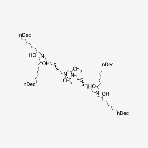 CCCCCCCCCCCCCCCCC(O)CN(CCCCSSCCN1CC(C)N(CCSSCCCCN(CC(O)CCCCCCCCCCCCCCCC)CC(O)CCCCCCCCCCCCCCCC)CC1C)CC(O)CCCCCCCCCCCCCCCC